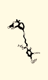 COc1ccc([N+](=CCCCOc2ccc3c(c2)NC(=O)OC3(C)C)OS)c(C(C)=O)c1OC